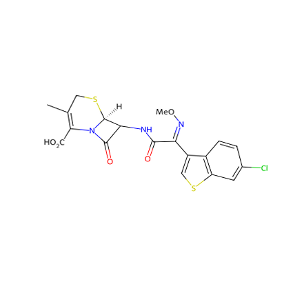 CON=C(C(=O)NC1C(=O)N2C(C(=O)O)=C(C)CS[C@@H]12)c1csc2cc(Cl)ccc12